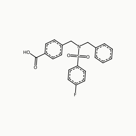 O=C(O)c1ccc(CN(Cc2ccccc2)S(=O)(=O)c2ccc(F)cc2)cc1